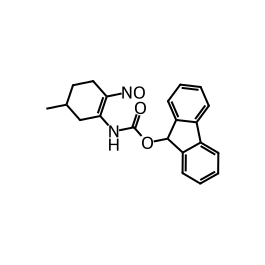 CC1CCC(N=O)=C(NC(=O)OC2c3ccccc3-c3ccccc32)C1